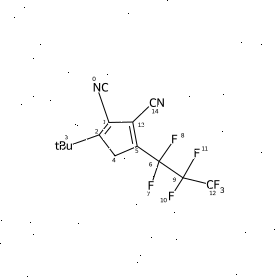 [C-]#[N+]C1=C(C(C)(C)C)CC(C(F)(F)C(F)(F)C(F)(F)F)=C1C#N